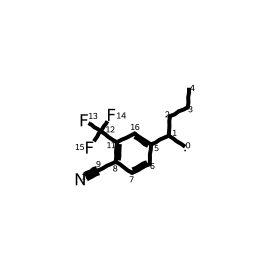 [CH2]C(CCC)c1ccc(C#N)c(C(F)(F)F)c1